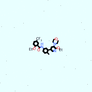 CCOc1ccc(C(F)(F)F)cc1C(=O)Nc1ccc(C)c(-c2cnc(OCC)c(N3CCOCC3)c2)c1